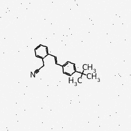 CC(C)(C)c1ccc(/C=C/c2ccccc2CC#N)cc1